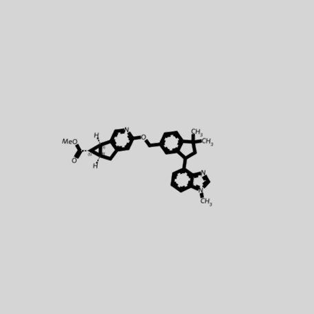 COC(=O)[C@H]1[C@@H]2Cc3cc(OCc4ccc5c(c4)C(c4cccc6c4ncn6C)CC5(C)C)ncc3[C@@H]21